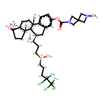 CN1CC2(C1)CN(C(=O)Oc1ccc3c(c1)C[C@@H](CCC[S+]([O-])CCCC(F)(F)C(F)(F)F)[C@@H]1[C@@H]3CC[C@]3(C)C(=O)CC[C@@H]13)C2